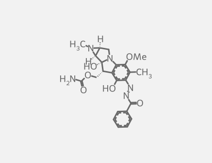 COc1c(C)c(N=NC(=O)c2ccccc2)c(O)c2c1N1C[C@H]3[C@H](N3C)[C@]1(O)[C@H]2COC(N)=O